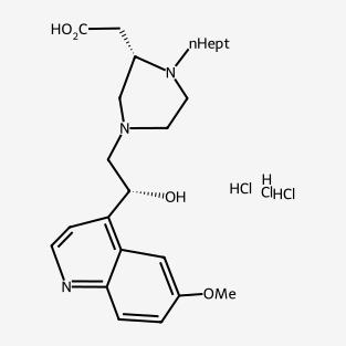 CCCCCCCN1CCN(C[C@H](O)c2ccnc3ccc(OC)cc23)C[C@@H]1CC(=O)O.Cl.Cl.Cl